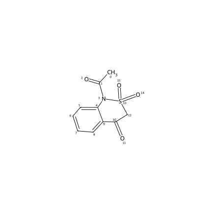 CC(=O)N1c2ccccc2C(=O)CS1(=O)=O